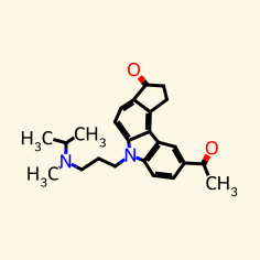 CC(=O)c1ccc2c(c1)c1c3c(ccc1n2CCCN(C)C(C)C)C(=O)CC3